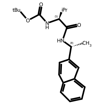 CC(C)[C@H](NC(=O)OC(C)(C)C)C(=O)N[C@H](C)c1ccc2ccccc2c1